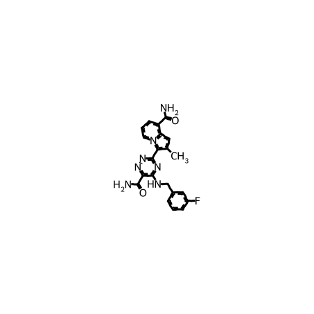 Cc1cc2c(C(N)=O)cccn2c1-c1nnc(C(N)=O)c(NCc2cccc(F)c2)n1